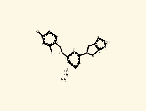 Br.Br.Br.Fc1cc(Cl)ccc1COc1cccc(N2Cc3c[nH]nc3C2)n1